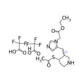 CCOC(=O)Cn1cncc1/C=C1/CNCCC1SC(C)=O.O=C(O)C(F)(F)F.O=C(O)C(F)(F)F